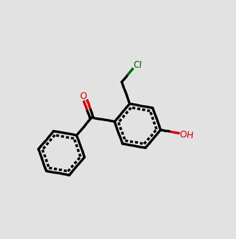 O=C(c1ccccc1)c1ccc(O)cc1CCl